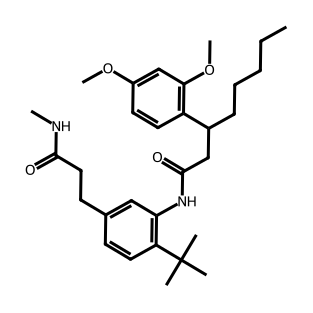 CCCCCC(CC(=O)Nc1cc(CCC(=O)NC)ccc1C(C)(C)C)c1ccc(OC)cc1OC